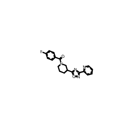 O=C(c1ccc(F)cc1)N1CCCC(c2nc(-c3ccccn3)no2)C1